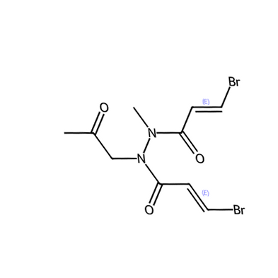 CC(=O)CN(C(=O)/C=C/Br)N(C)C(=O)/C=C/Br